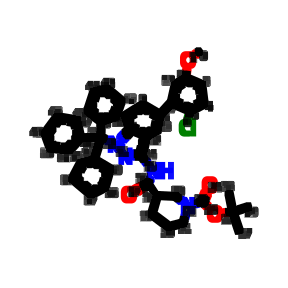 COc1ccc(Cl)c(-c2ccc3c(c2)c(NC(=O)[C@@H]2CCCN(C(=O)OC(C)(C)C)C2)nn3C(c2ccccc2)(c2ccccc2)c2ccccc2)c1